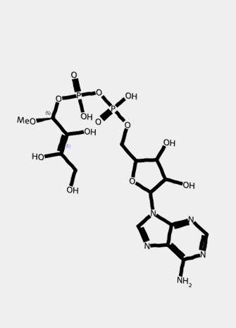 CO[C@@H](OP(=O)(O)OP(=O)(O)OCC1OC(n2cnc3c(N)ncnc32)C(O)C1O)/C(O)=C(\O)CO